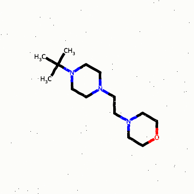 CC(C)(C)N1CCN(CCN2CCOCC2)CC1